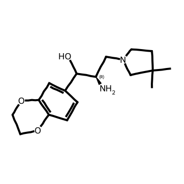 CC1(C)CCN(C[C@@H](N)C(O)c2ccc3c(c2)OCCO3)C1